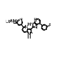 CCNCc1cncc(-c2ccc3[nH]nc(-c4nc5c(-c6cccc(F)c6)ccnc5[nH]4)c3n2)c1